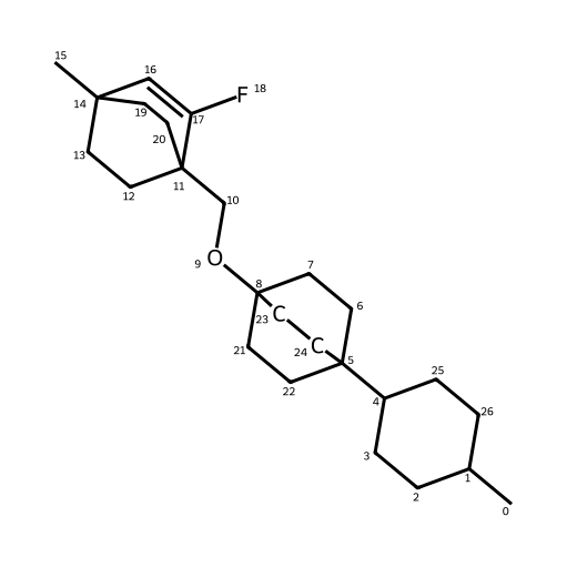 CC1CCC(C23CCC(OCC45CCC(C)(C=C4F)CC5)(CC2)CC3)CC1